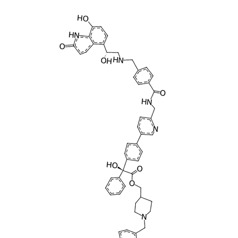 O=C(NCc1ccc(-c2ccc([C@](O)(C(=O)OCC3CCN(Cc4ccccc4)CC3)c3ccccc3)cc2)cn1)c1ccc(CNC[C@H](O)c2ccc(O)c3[nH]c(=O)ccc23)cc1